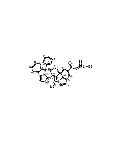 CCC(Nc1nccn1C(c1ccccc1)(c1ccccc1)c1ccccc1)n1ncc2cc(C(=O)NNC=O)ccc21